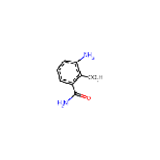 NC(=O)c1cccc(N)c1C(=O)O